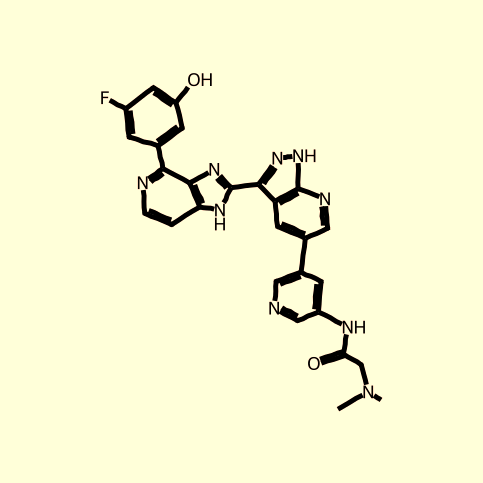 CN(C)CC(=O)Nc1cncc(-c2cnc3[nH]nc(-c4nc5c(-c6cc(O)cc(F)c6)nccc5[nH]4)c3c2)c1